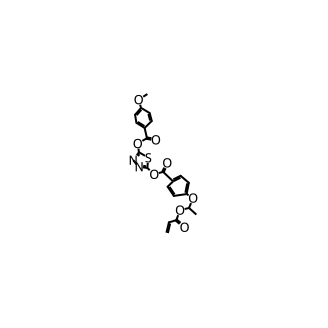 C=CC(=O)OC(C)Oc1ccc(C(=O)Oc2nnc(OC(=O)c3ccc(OC)cc3)s2)cc1